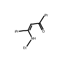 CCN/C(=C\C(=O)C(C)C)C(C)C